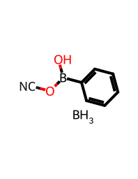 B.N#COB(O)c1ccccc1